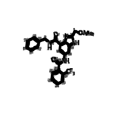 COCc1nc2c(C(=O)NCc3ccccc3)cc(NC(=O)c3ccccc3C(F)(F)F)cc2[nH]1